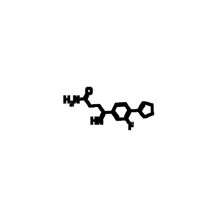 N=C(CCC(N)=O)c1ccc(C2=CCCC2)c(F)c1